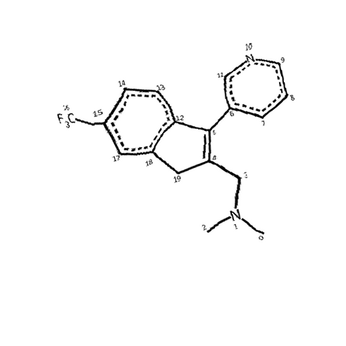 CN(C)CC1=C(c2cccnc2)c2ccc(C(F)(F)F)cc2C1